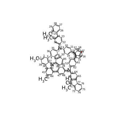 Cc1cc(-c2ccc(N(c3ccc(-c4ccccc4)cc3)c3ccc(-c4ccccc4C)c(C)c3)cc2)c2c(c1)c1cc(C)cc(-c3ccc(N(c4ccc(-c5ccccc5)cc4)c4ccc5c(c4)C(C)(C)c4ccccc4-5)cc3)c1n2-c1ccccc1